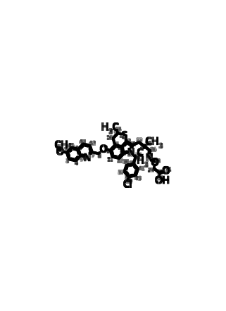 COc1ccc2nc(COc3ccc4c5c3CC(C)Sc5c(CC(C)(C)C=NOCC(=O)O)n4Cc3ccc(Cl)cc3)ccc2c1